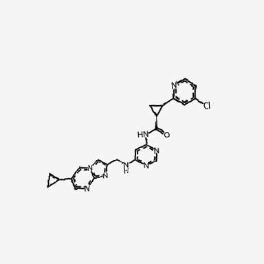 O=C(Nc1cc(NCc2cn3cc(C4CC4)cnc3n2)ncn1)[C@H]1CC1c1cc(Cl)ccn1